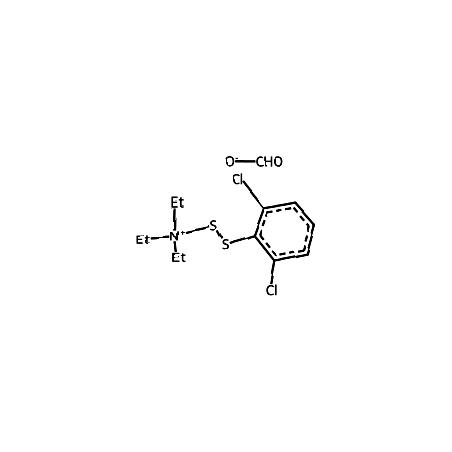 CC[N+](CC)(CC)SSc1c(Cl)cccc1Cl.O=C[O-]